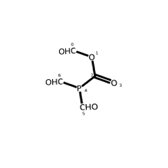 O=COC(=O)P(C=O)C=O